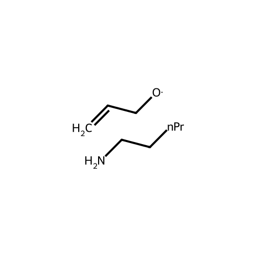 C=CC[O].CCCCCN